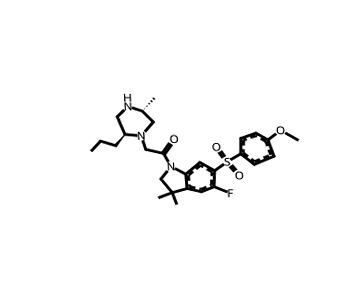 CCC[C@H]1CN[C@H](C)CN1CC(=O)N1CC(C)(C)c2cc(F)c(S(=O)(=O)c3ccc(OC)cc3)cc21